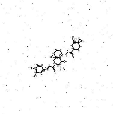 C[C@H]1C(=O)N2[C@@H](CCC(=O)N3CCC4(CC4)[C@H](O)C3)CCC[C@H]2CN1C(=O)C=Cc1ccc(F)c(Cl)c1